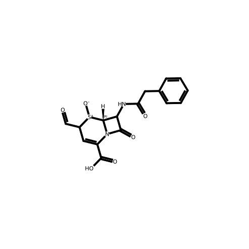 O=CC1C=C(C(=O)O)N2C(=O)C(NC(=O)Cc3ccccc3)[C@H]2[S+]1[O-]